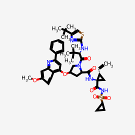 C=C[C@@H]1C[C@]1(NC(=O)C1CC(Oc2cc(-c3ccccc3)nc3cc(OC)ccc23)CN1C(=O)[C@@H](Nc1nc(C(C)(C)C)cs1)C(C)(C)C)C(=O)NS(=O)(=O)C1CC1